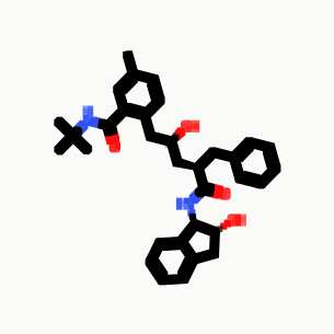 Cc1ccc(C[C@@H](O)C[C@@H](Cc2ccccc2)C(=O)N[C@H]2c3ccccc3C[C@H]2O)c(C(=O)NC(C)(C)C)c1